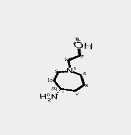 N[C@H]1CCCN(CCO)CC1